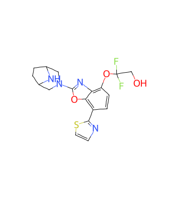 OCC(F)(F)Oc1ccc(-c2nccs2)c2oc(N3CC4CCC(C3)N4)nc12